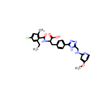 CCc1cc(F)cc(C)c1C(=O)NC(Cc1ccc(-c2nnc(CNc3cc(OC)ccn3)[nH]2)cc1)C(=O)O